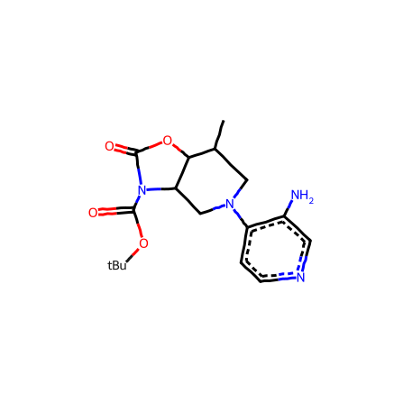 CC1CN(c2ccncc2N)CC2C1OC(=O)N2C(=O)OC(C)(C)C